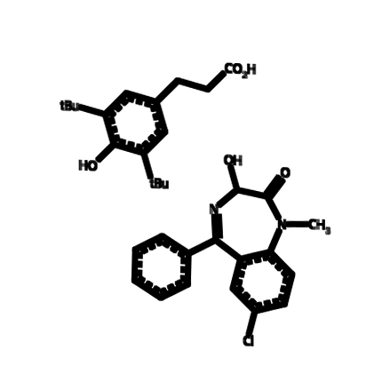 CC(C)(C)c1cc(CCC(=O)O)cc(C(C)(C)C)c1O.CN1C(=O)C(O)N=C(c2ccccc2)c2cc(Cl)ccc21